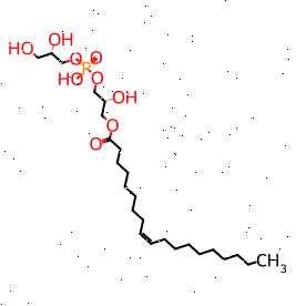 CCCCCCCCC/C=C\CCCCCCCC(=O)OC[C@@H](O)COP(=O)(O)OC[C@@H](O)CO